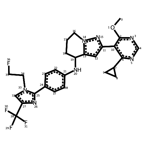 COc1ncnc(C2CC2)c1-c1cc2n(n1)CCCC2Nc1ccc(-c2nc(C(F)(F)F)cn2CCF)cc1